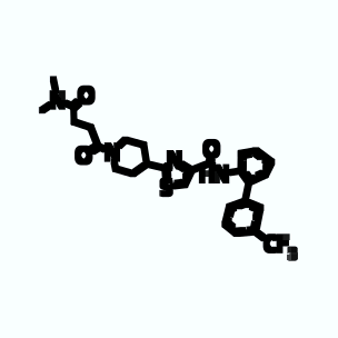 CN(C)C(=O)CCC(=O)N1CCC(c2nc(C(=O)Nc3ccccc3-c3cccc(C(F)(F)F)c3)cs2)CC1